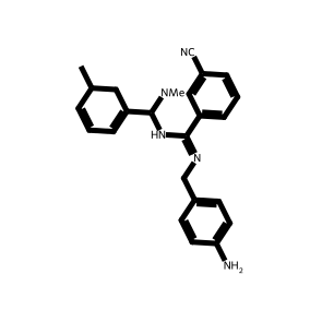 CNC(N/C(=N\Cc1ccc(N)cc1)c1cccc(C#N)c1)C1=CC=CC(C)C1